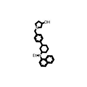 CCN(c1cccc2ccccc12)C1CCCC(c2ccc(CN3CCC(O)C3)cc2)C1